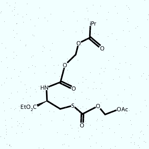 CCOC(=O)[C@H](CSC(=O)OCOC(C)=O)NC(=O)OCOC(=O)C(C)C